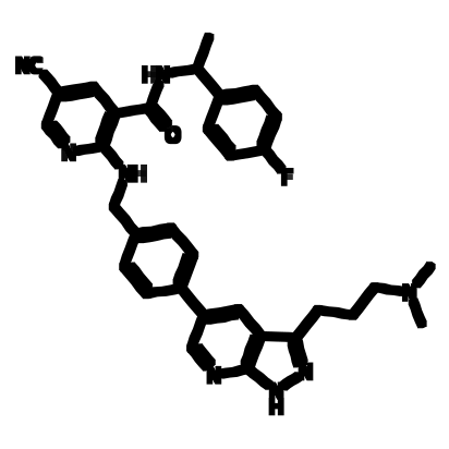 CC(NC(=O)c1cc(C#N)cnc1NCc1ccc(-c2cnc3[nH]nc(CCCN(C)C)c3c2)cc1)c1ccc(F)cc1